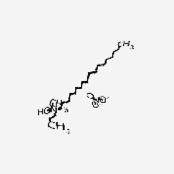 CCCCCCCCCCCCCCCCCC[N+](C)(O)CCC.O=[N+]([O-])[O-]